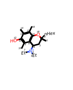 CCCCCCC1(C)CC([N+](CC)CC)c2c(C)c(O)c(C)c(C)c2O1